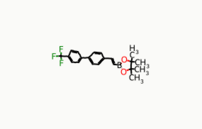 CC1(C)OB(/C=C/c2ccc(-c3ccc(C(F)(F)F)cc3)cc2)OC1(C)C